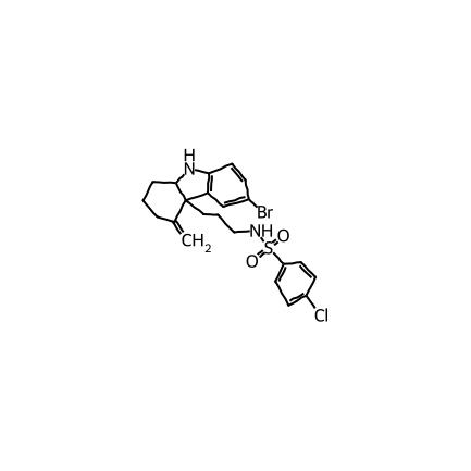 C=C1CCCC2Nc3ccc(Br)cc3C12CCCNS(=O)(=O)c1ccc(Cl)cc1